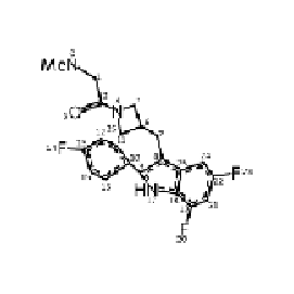 CNCC(=O)N1CC(Cc2c(-c3ccc(F)cc3)[nH]c3c(F)cc(F)cc23)C1